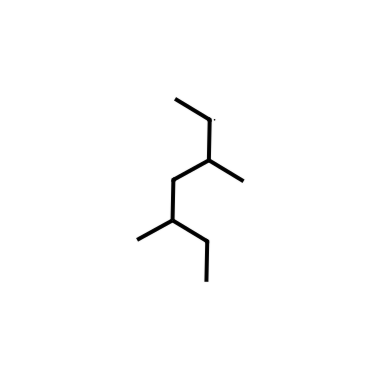 C[CH]C(C)CC(C)CC